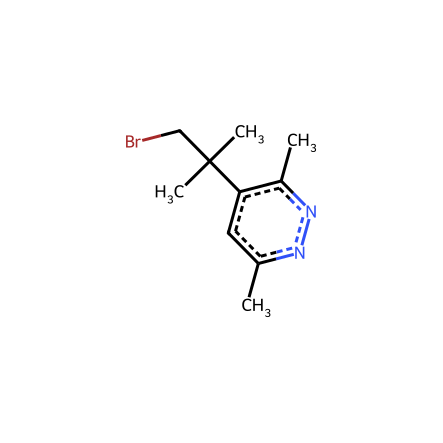 Cc1cc(C(C)(C)CBr)c(C)nn1